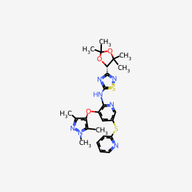 Cc1nn(C)c(C)c1Oc1cc(Sc2ccccn2)cnc1Nc1nc([C@@H]2OC(C)(C)OC2(C)C)ns1